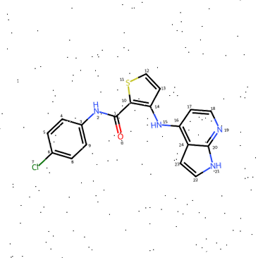 O=C(Nc1ccc(Cl)cc1)c1sccc1Nc1ccnc2[nH]ccc12